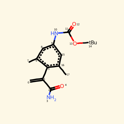 C=C(C(N)=O)c1c(C)cc(NC(=O)OC(C)(C)C)cc1C